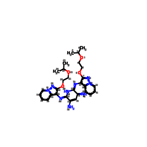 CC(C)OCCOc1nn2ccccc2c1N=C1NC(=Nc2c(OCCOC(C)C)nn3ccccc23)C(N)=CC1=N